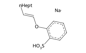 CCCCCCCC=COc1ccccc1S(=O)(=O)O.[Na]